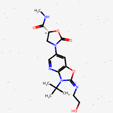 CNC(=O)[C@H]1CN(c2cnc3c(c2)o/c(=N/CCO)n3C(C)(C)C)C(=O)O1